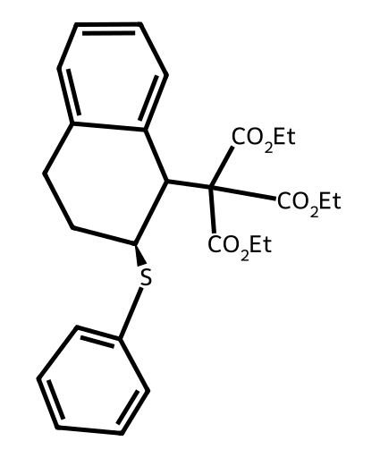 CCOC(=O)C(C(=O)OCC)(C(=O)OCC)C1c2ccccc2CC[C@@H]1Sc1ccccc1